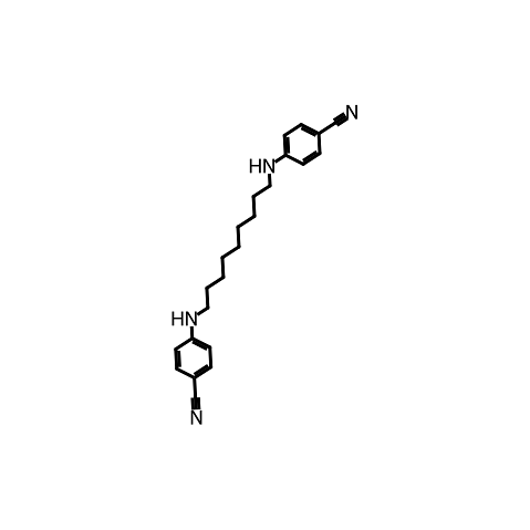 N#Cc1ccc(NCCCCCCCCCNc2ccc(C#N)cc2)cc1